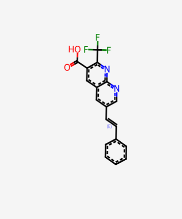 O=C(O)c1cc2cc(/C=C/c3ccccc3)cnc2nc1C(F)(F)F